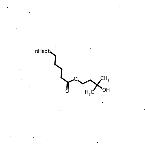 CCCCCCCCCCCC(=O)OCCC(C)(C)O